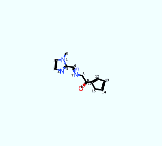 Cn1ccnc1/C=N/CC(=O)C1=CC=CC1